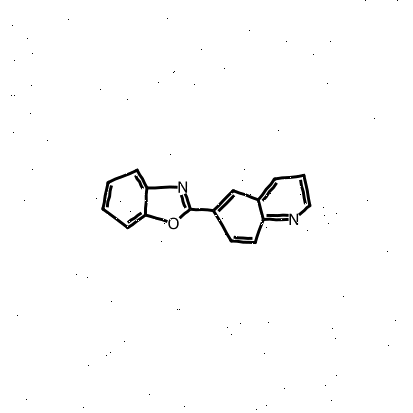 c1cnc2ccc(-c3nc4ccccc4o3)cc2c1